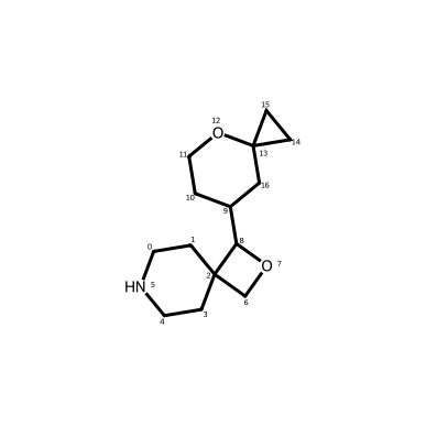 C1CC2(CCN1)COC2C1CCOC2(CC2)C1